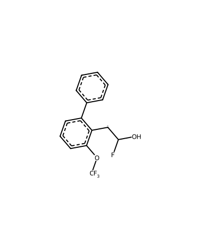 OC(F)[CH]c1c(OC(F)(F)F)cccc1-c1ccccc1